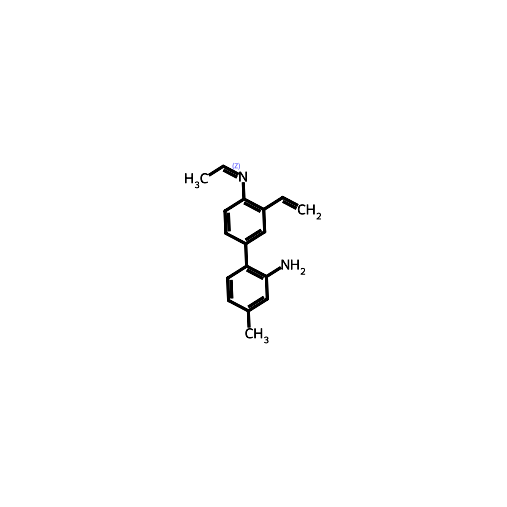 C=Cc1cc(-c2ccc(C)cc2N)ccc1/N=C\C